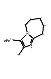 CCCCCc1c(C)nc2n1CCCCC2